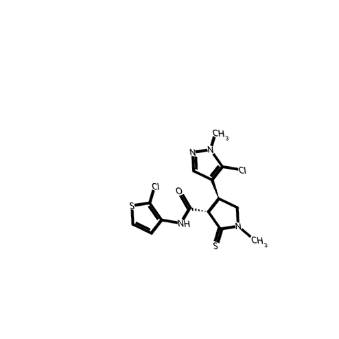 CN1C[C@H](c2cnn(C)c2Cl)[C@@H](C(=O)Nc2ccsc2Cl)C1=S